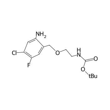 CC(C)(C)OC(=O)NCCOCc1cc(F)c(Cl)cc1N